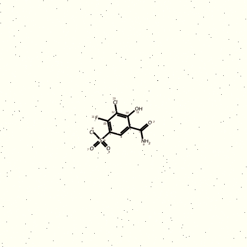 NC(=O)c1cc(S(=O)(=O)Cl)c(F)c(Cl)c1O